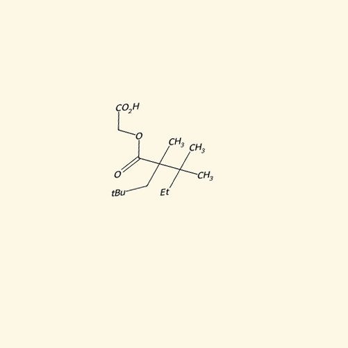 CCC(C)(C)C(C)(CC(C)(C)C)C(=O)OCC(=O)O